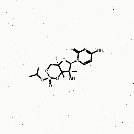 CC(C)OP1(=O)OC[C@H]2O[C@@H](n3ccc(N)nc3=O)[C@](C)(O)[C@@H]2O1